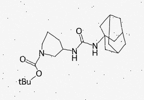 CC(C)(C)OC(=O)N1CCCC(NC(=O)NC23CC4CC(CC(C4)C2)C3)C1